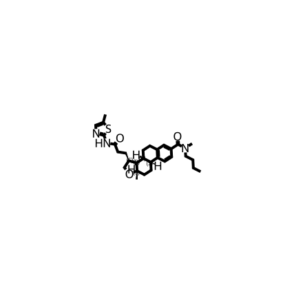 CCCCN(C)C(=O)c1ccc2c(c1)CC[C@H]1[C@@H]3[C@H](CCC(=O)Nc4ncc(C)s4)CO[C@@]3(C)CC[C@H]21